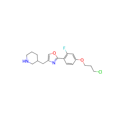 Fc1cc(OCCCCl)ccc1-c1nc(CC2CCCNC2)co1